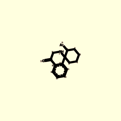 CC(=O)C1CCCCC12NCC(=O)c1ccccc12